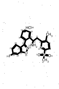 Cc1ccc(S(C)(=O)=O)nc1CC(N)c1ccccc1-c1noc2cc(F)ccc12.Cl